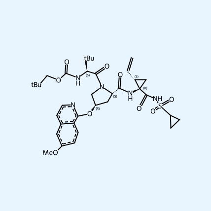 C=C[C@@H]1C[C@]1(NC(=O)[C@@H]1C[C@@H](Oc2nccc3cc(OC)ccc23)CN1C(=O)[C@@H](NC(=O)OCC(C)(C)C)C(C)(C)C)C(=O)NS(=O)(=O)C1CC1